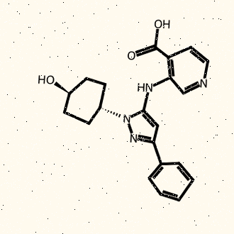 O=C(O)c1ccncc1Nc1cc(-c2ccccc2)nn1[C@H]1CC[C@H](O)CC1